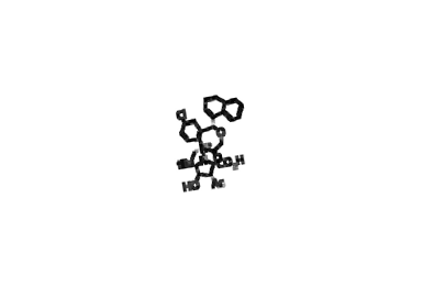 CC(=O)[C@@H]1[C@@H](O)CN([N@+]2(CC(C)(C)C)C(=O)CO[C@@H](c3cccc4ccccc34)c3cc(Cl)ccc32)[C@H]1C(=O)O